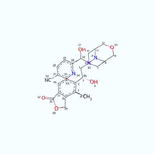 Cc1c([C@@H](O)CN2CC3COCC(C2)N3CC(O)c2ccc(C#N)cn2)ccc2c1COC2=O